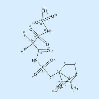 CC1(C)C2CCC1(CS(=O)(=O)NC(=O)C(F)(F)S(=O)(=O)NS(C)(=O)=O)C(=O)C2